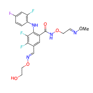 CON=CCONC(=O)c1cc(C=NOCCO)c(F)c(F)c1Nc1ccc(I)cc1F